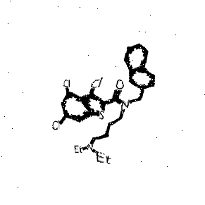 CCN(CC)CCCCN(Cc1ccc2ccccc2c1)C(=O)c1sc2cc(Cl)cc(Cl)c2c1Cl